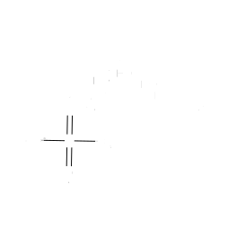 Cl.O.O.O.O.O.O=S(=O)([O-])[O-].[Cu+2]